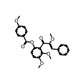 COC(=Cc1ccccc1)C(=O)c1c(OC(=O)c2ccc(OC)cc2)ccc(OC)c1OC